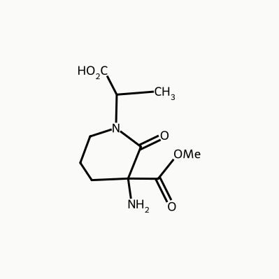 COC(=O)C1(N)CCCN(C(C)C(=O)O)C1=O